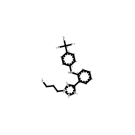 FCCCn1nnc(-c2ccccc2Nc2ccc(C(F)(F)F)cc2)n1